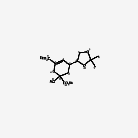 CCOC(=O)C1=CC(C2COC(C)(C)O2)CC(O)(C(=O)OCC)O1